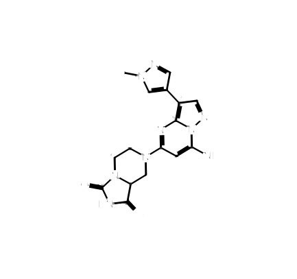 Cn1cc(-c2cnn3c(N)cc(N4CCN5C(=O)NC(=O)C5C4)nc23)cn1